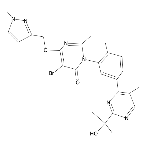 Cc1ccc(-c2nc(C(C)(C)O)ncc2C)cc1-n1c(C)nc(OCc2ccn(C)n2)c(Br)c1=O